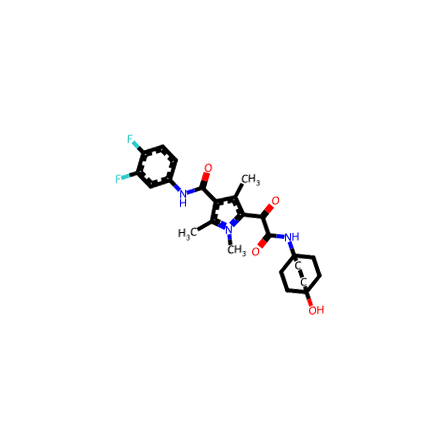 Cc1c(C(=O)Nc2ccc(F)c(F)c2)c(C)n(C)c1C(=O)C(=O)NC12CCC(O)(CC1)CC2